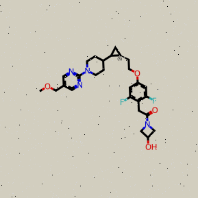 COCc1cnc(N2CCC(C3C[C@H]3CCOc3cc(F)c(CC(=O)N4CC(O)C4)c(F)c3)CC2)nc1